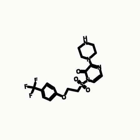 O=c1c(N2CCNCC2)nccn1S(=O)(=O)CCOc1ccc(C(F)(F)F)cc1